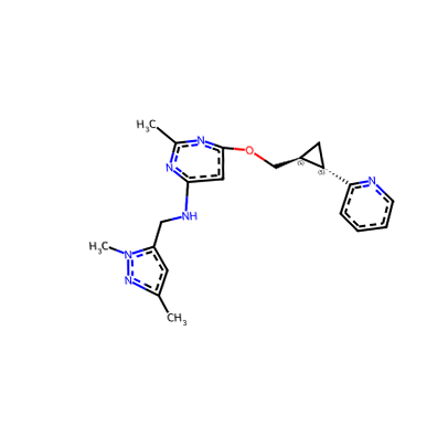 Cc1cc(CNc2cc(OC[C@H]3C[C@@H]3c3ccccn3)nc(C)n2)n(C)n1